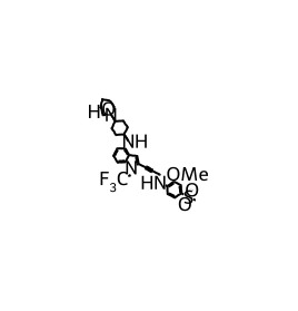 COc1cc(S(C)(=O)=O)ccc1NCC#Cc1cc2c(NC3CCC(N4CC5C[C@H](C4)O5)CC3)cccc2n1CC(F)(F)F